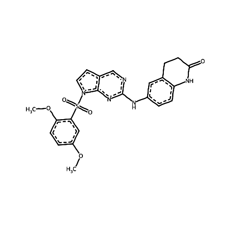 COc1ccc(OC)c(S(=O)(=O)n2ccc3cnc(Nc4ccc5c(c4)CCC(=O)N5)nc32)c1